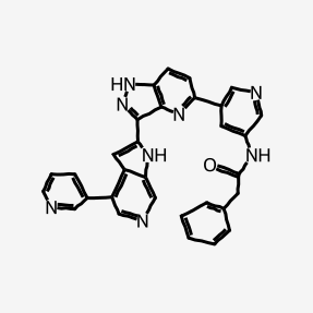 O=C(Cc1ccccc1)Nc1cncc(-c2ccc3[nH]nc(-c4cc5c(-c6cccnc6)cncc5[nH]4)c3n2)c1